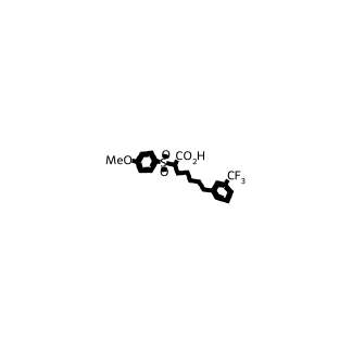 COc1ccc(S(=O)(=O)C(CCCCCc2cccc(C(F)(F)F)c2)C(=O)O)cc1